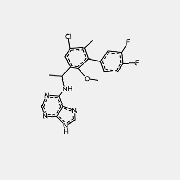 COc1c(C(C)Nc2ncnc3[nH]cnc23)cc(Cl)c(C)c1-c1ccc(F)c(F)c1